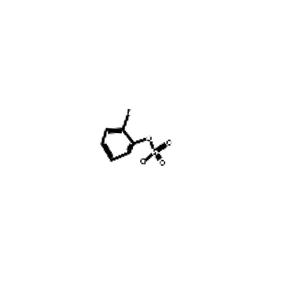 O=S(=O)(Cl)Oc1ccccc1F